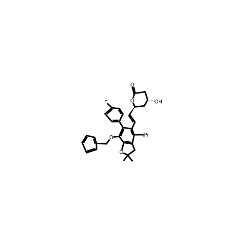 CC(C)c1c(/C=C/[C@@H]2C[C@@H](O)CC(=O)O2)c(-c2ccc(F)cc2)c(OCc2ccccc2)c2c1CC(C)(C)O2